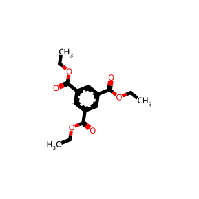 CCOC(=O)c1[c]c(C(=O)OCC)cc(C(=O)OCC)c1